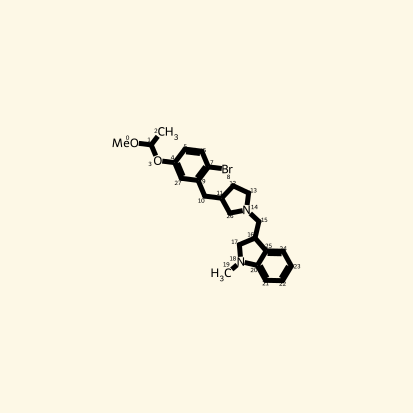 COC(C)Oc1ccc(Br)c(CC2CCN(CC3CN(C)c4ccccc43)C2)c1